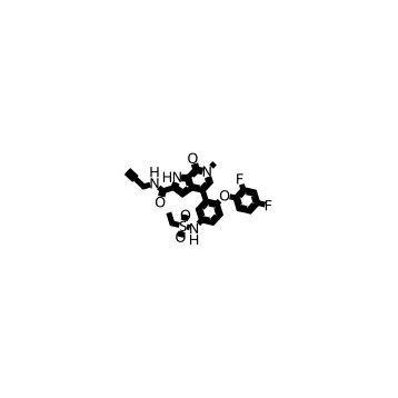 C#CCNC(=O)c1cc2c(-c3cc(NS(=O)(=O)CC)ccc3Oc3ccc(F)cc3F)cn(C)c(=O)c2[nH]1